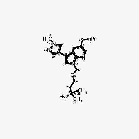 CCCSc1cnc2c(c1)c(-c1cnn(C)c1)cn2COCC[Si](C)(C)C